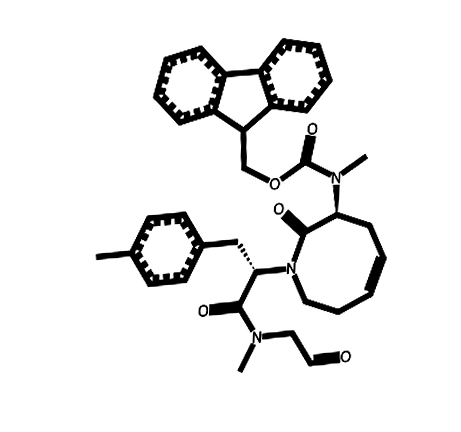 Cc1ccc(C[C@@H](C(=O)N(C)CC=O)N2CC/C=C\C[C@H](N(C)C(=O)OCC3c4ccccc4-c4ccccc43)C2=O)cc1